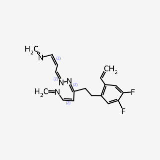 C=Cc1cc(F)c(F)cc1CCC(/C=C\N=C)=N/N=C\C=C/N=C